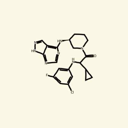 O=C(C(Nc1cc(F)cc(Cl)c1)C1CC1)N1CCC[C@H](Nc2ncnc3[nH]ncc23)C1